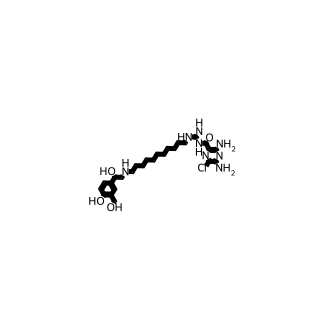 N=C(NCCCCCCCCCCCNCC(O)c1ccc(O)c(CO)c1)NC(=O)c1nc(Cl)c(N)nc1N